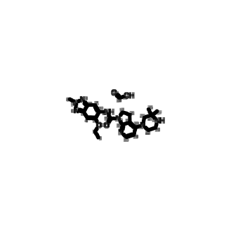 CCOc1cc2nn(C)nc2cc1NC(=O)N1CCc2c(N3CCNC(C)(C)C3)ccnc21.O=CO